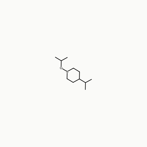 CC(C)ON1CCC(C(C)C)CC1